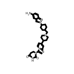 Nc1ccc2nn(C3CCC(CN4CCC(c5ccn6c(N7CCC(=O)NC7=O)cnc6c5)CC4)CC3)cc2c1